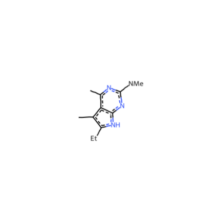 CCc1[nH]c2nc(NC)nc(C)c2c1C